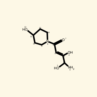 NC(O)/C(O)=C/C(=O)N1CCC(O)CC1